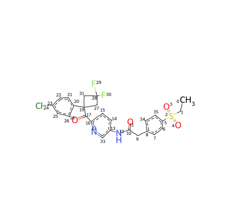 CCS(=O)(=O)c1ccc(CC(=O)Nc2ccc(C(=O)C3(c4ccc(Cl)cc4)CC(F)(F)C3)nc2)cc1